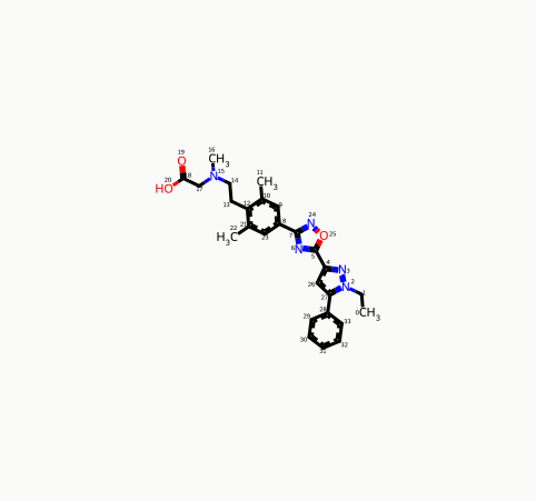 CCn1nc(-c2nc(-c3cc(C)c(CCN(C)CC(=O)O)c(C)c3)no2)cc1-c1ccccc1